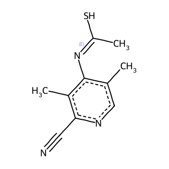 C/C(S)=N\c1c(C)cnc(C#N)c1C